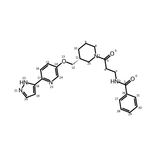 O=C(NCCC(=O)N1CCC[C@@H](COc2ccc(-c3ccn[nH]3)nc2)C1)c1ccccc1